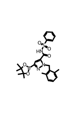 Cc1cccc(C)c1Cn1nc(B2OC(C)(C)C(C)(C)O2)cc1C(=O)NS(=O)(=O)c1ccccc1